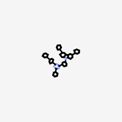 c1ccc(-c2ccc(-c3nc(-c4ccccc4)nc(-c4cccc(-n5c6ccc(-c7ccccc7)cc6c6cc(-c7ccccc7)ccc65)c4)n3)cc2)cc1